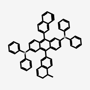 CC1CC=Cc2cc(-c3c4ccc(N(c5ccccc5)c5ccccc5)cc4c(-c4ccc5ccc#cc5c4)c4ccc(N(c5ccccc5)c5ccccc5)cc34)ccc21